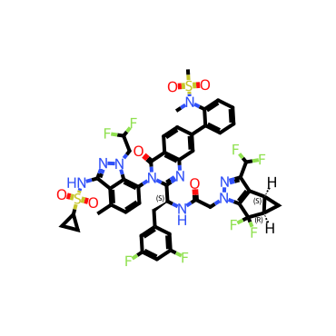 Cc1ccc(-n2c([C@H](Cc3cc(F)cc(F)c3)NC(=O)Cn3nc(C(F)F)c4c3C(F)(F)[C@@H]3C[C@H]43)nc3cc(-c4ccccc4N(C)S(C)(=O)=O)ccc3c2=O)c2c1c(NS(=O)(=O)C1CC1)nn2CC(F)F